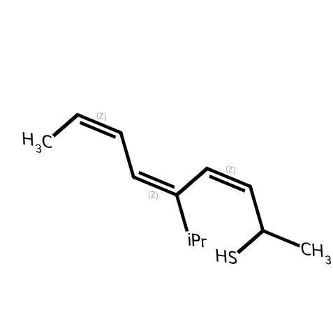 C\C=C/C=C(\C=C/C(C)S)C(C)C